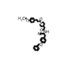 CCOc1ccc(CCC(=O)N2CCC(CC(=O)NC(C#N)Cc3ccc(OCc4ccccc4)cc3)CC2)cc1